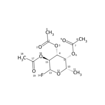 CC(=O)O[C@@H]1[C@H](OC(C)=O)[C@H](C)OC(F)[C@H]1OC(C)=O